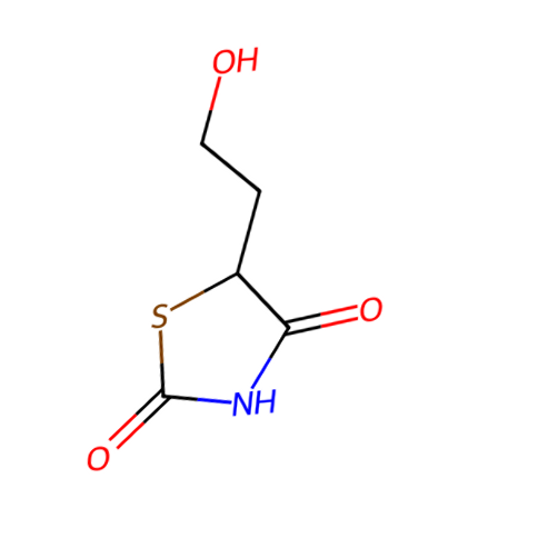 O=C1NC(=O)C(CCO)S1